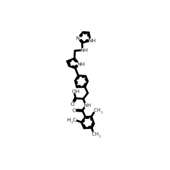 Cc1cc(C)c(C(=O)NC(Cc2ccc(-c3ccc(CNc4ncc[nH]4)[nH]3)cc2)C(=O)O)c(C)c1